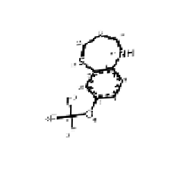 FC(F)(F)Oc1ccc2c(c1)SCCCN2